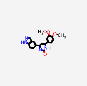 COc1ccc(-c2cc(-c3ccc4[nH]ncc4c3)nc(=O)[nH]2)cc1OC